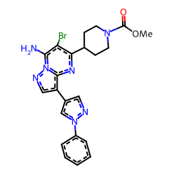 COC(=O)N1CCC(c2nc3c(-c4cnn(-c5ccccc5)c4)cnn3c(N)c2Br)CC1